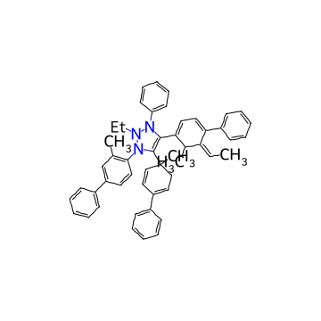 CC=C1C(c2ccccc2)=CC=C(C2=C(C3(C)C=CC(c4ccccc4)=CC3)N(c3ccc(-c4ccccc4)cc3C)N(CC)N2c2ccccc2)C1C